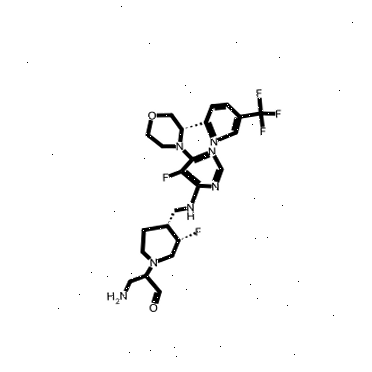 NCC(C=O)N1CC[C@H](CNc2ncnc(N3CCOC[C@@H]3c3ccc(C(F)(F)F)cn3)c2F)[C@H](F)C1